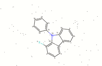 Fc1cccc2c3ccccc3n(-c3ccccc3)c12